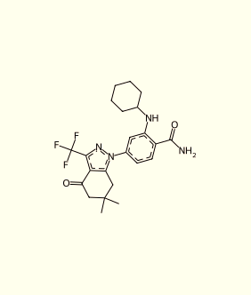 CC1(C)CC(=O)c2c(C(F)(F)F)nn(-c3ccc(C(N)=O)c(NC4CCCCC4)c3)c2C1